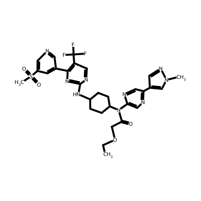 CCOCC(=O)N(c1cnc(-c2cnn(C)c2)cn1)C1CCC(Nc2ncc(C(F)(F)F)c(-c3cncc(S(C)(=O)=O)c3)n2)CC1